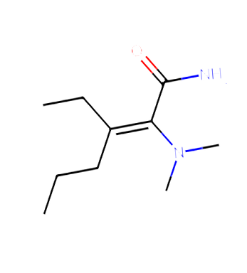 CCC/C(CC)=C(/C(N)=O)N(C)C